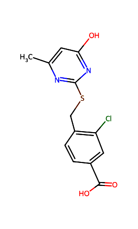 Cc1cc(O)nc(SCc2ccc(C(=O)O)cc2Cl)n1